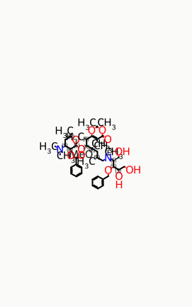 CO[C@](C)(C[C@@H](C)CN(C)[C@@H](CO)[C@H](OCc1ccccc1)[C@@H](O)CO)[C@H](O[C@@H]1O[C@H](C)C[C@H](N(C)C)[C@H]1OC(=O)c1ccccc1)[C@@H](C)C1=C(C)C(=O)OC(C)(C)O1